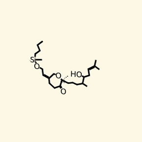 CCCC[Si](C)(C)OCC=C1CCC(=O)[C@](C)(CCCC(C)C(O)CC=C(C)C)OC1